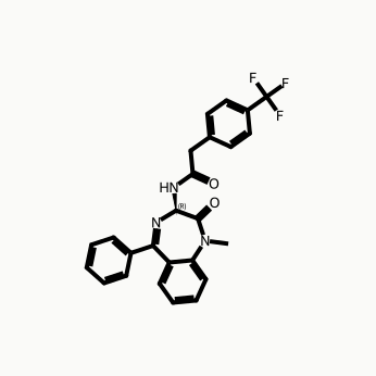 CN1C(=O)[C@H](NC(=O)Cc2ccc(C(F)(F)F)cc2)N=C(c2ccccc2)c2ccccc21